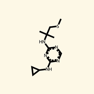 CSCC(C)(C)Nc1ncnc(NC2CC2)n1